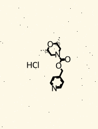 C[C@@H]1CN(C(=O)OCc2ccncc2)C[C@H](C)O1.Cl